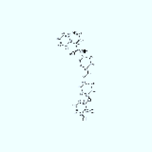 O=C(N[C@H]1CC[C@H](CCN2CCC(Oc3cccc(Cl)c3Cl)CC2)CC1)c1ccnc2ccccc12